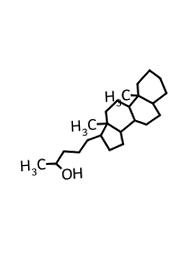 CC(O)CCCC1CCC2C3CCC4CCCCC4(C)C3CCC12C